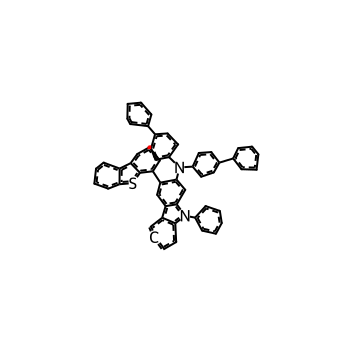 c1ccc(-c2ccc(N(c3ccc(-c4ccccc4)cc3)c3cc4c(cc3-c3cccc5c3sc3ccccc35)c3ccccc3n4-c3ccccc3)cc2)cc1